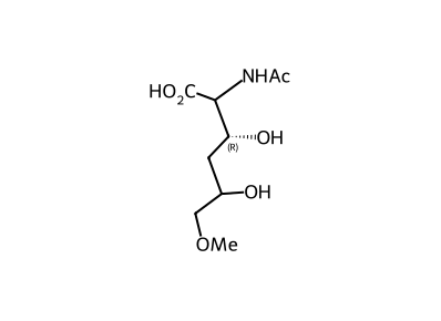 COCC(O)C[C@@H](O)C(NC(C)=O)C(=O)O